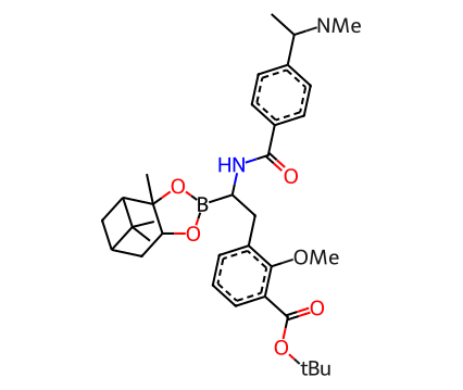 CNC(C)c1ccc(C(=O)NC(Cc2cccc(C(=O)OC(C)(C)C)c2OC)B2OC3CC4CC(C4(C)C)C3(C)O2)cc1